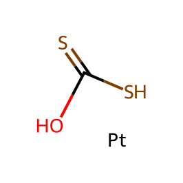 OC(=S)S.[Pt]